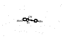 CCn1c(C#Cc2ccc(C(C)(C)C)cc2)c(C#N)c2ccc(OC)cc21